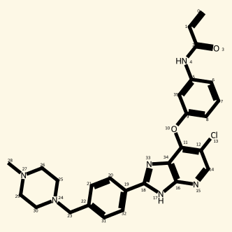 C=CC(=O)Nc1cccc(Oc2c(Cl)cnc3[nH]c(-c4ccc(CN5CCN(C)CC5)cc4)nc23)c1